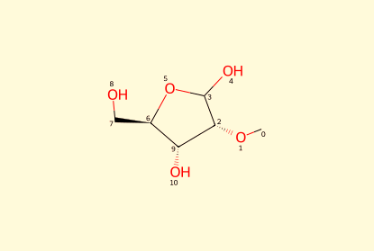 CO[C@H]1C(O)O[C@H](CO)[C@H]1O